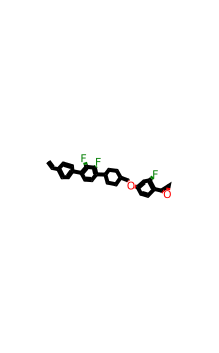 C=Cc1ccc(-c2ccc(C3CCC(COc4ccc(C5CO5)c(F)c4)CC3)c(F)c2F)cc1